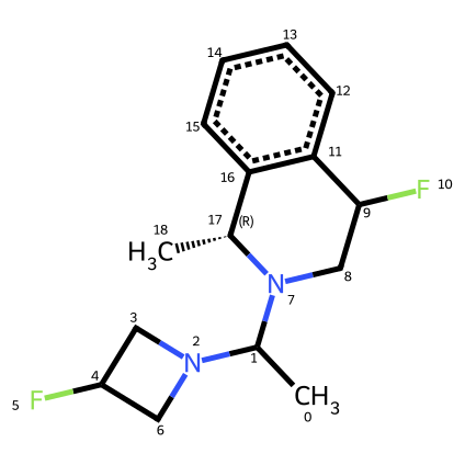 CC(N1CC(F)C1)N1CC(F)c2ccccc2[C@H]1C